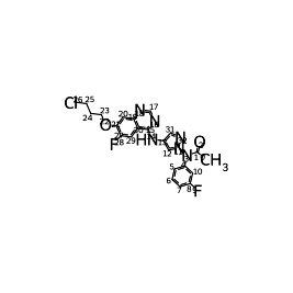 CC(=O)N(c1cccc(F)c1)n1cc(Nc2ncnc3cc(OCCCCl)c(F)cc23)cn1